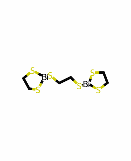 C1C[S][Bi]([S]CC[S][Bi]2[S]CC[S]2)[S]1